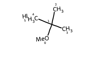 COC(C)(C)C.I